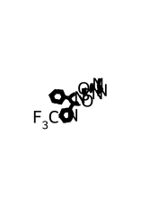 Cn1cc(S(=O)(=O)N2C=C(c3cc(C(F)(F)F)ccn3)C(c3ccccc3)C2)nn1